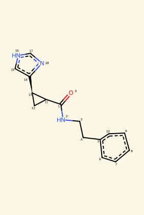 O=C(NCCc1ccccc1)C1C[C@H]1c1c[nH]cn1